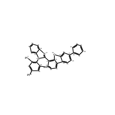 CC(C)c1cc(C(C)C)c(-n2c(-c3cccc4c3oc3cc(-c5ccccc5)ccc34)nc3ccccc32)c(C(C)C)c1